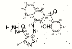 Cc1nsc(/N=N/c2c(O)c(C(=O)c3ccccc3)cc3ccccc23)c1C(=O)NN